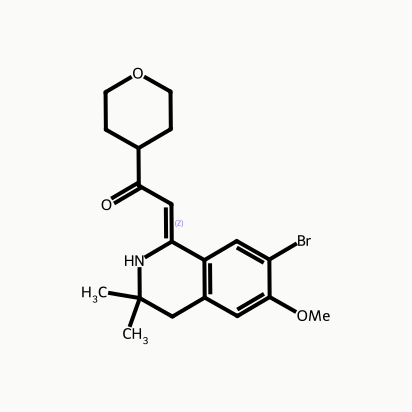 COc1cc2c(cc1Br)/C(=C/C(=O)C1CCOCC1)NC(C)(C)C2